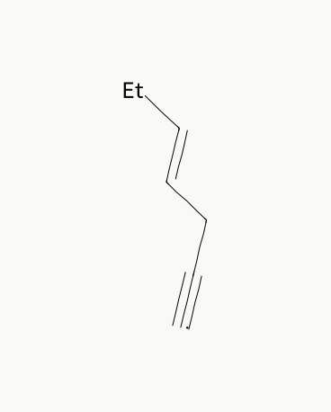 [C]#CCC=CCC